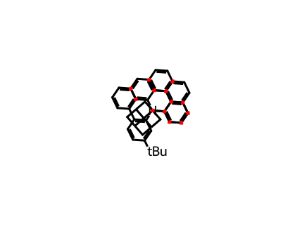 CC(C)(C)c1ccc(-c2ccccc2)c(N(c2ccccc2-c2ccccc2)c2ccccc2-c2cccc3cccc(C45CC6CC7CC(C4)C765)c23)c1